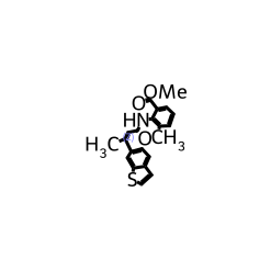 COC(=O)c1cccc(C)c1NC(=O)/C=C(/C)c1ccc2ccsc2c1